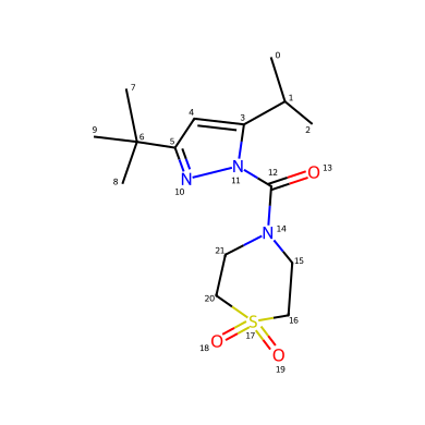 CC(C)c1cc(C(C)(C)C)nn1C(=O)N1CCS(=O)(=O)CC1